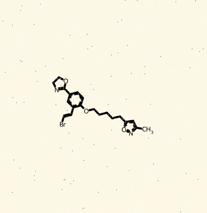 Cc1cc(CCCCCOc2ccc(C3=NCCO3)cc2C=CBr)on1